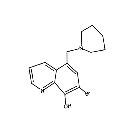 Oc1c(Br)cc(CN2CCCCC2)c2cccnc12